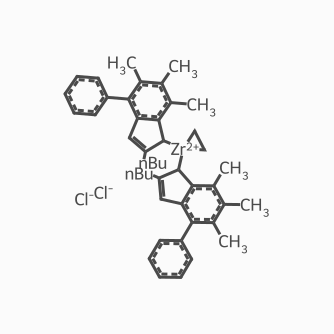 CCCCC1=Cc2c(-c3ccccc3)c(C)c(C)c(C)c2[CH]1[Zr+2]1([CH]2C(CCCC)=Cc3c(-c4ccccc4)c(C)c(C)c(C)c32)[CH2][CH2]1.[Cl-].[Cl-]